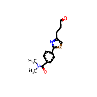 CN(C)C(=O)c1ccc(-c2nc(CCC=O)cs2)cc1